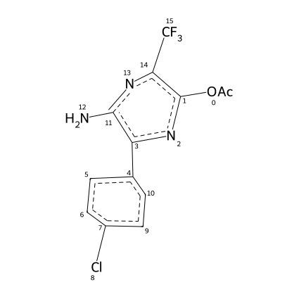 CC(=O)Oc1nc(-c2ccc(Cl)cc2)c(N)nc1C(F)(F)F